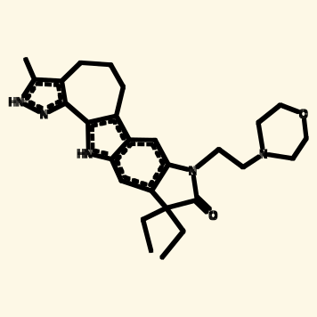 CCC1(CC)C(=O)N(CCN2CCOCC2)c2cc3c4c([nH]c3cc21)-c1n[nH]c(C)c1CCC4